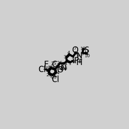 CC(C)/C=C(\C=C/CC(=O)NC1CSC1)C1=NOC(c2cc(Cl)cc(Cl)c2)(C(F)(F)F)C1